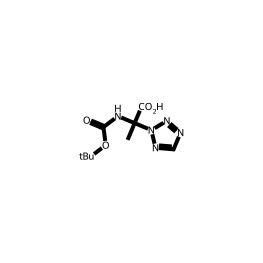 CC(C)(C)OC(=O)NC(C)(C(=O)O)n1ncnn1